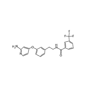 Nc1cc(Oc2cccc(CCNC(=O)c3cccc(C(F)(F)F)c3)c2)ccn1